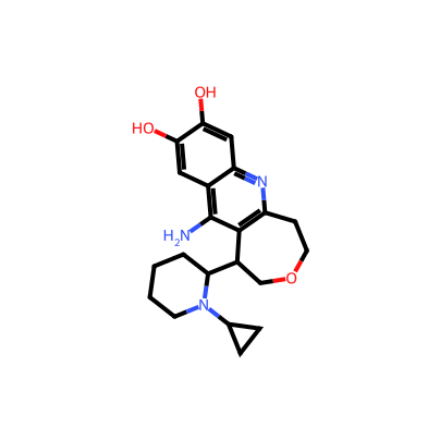 Nc1c2c(nc3cc(O)c(O)cc13)CCOCC2C1CCCCN1C1CC1